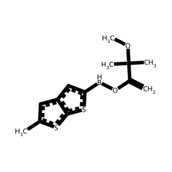 C=C(OBc1cc2cc(C)sc2s1)C(C)(C)OC